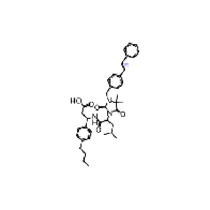 CCCCc1ccc(C(CC(=O)O)NC(=O)C(CC(C)C)N2C(=O)N(Cc3ccc(/C=C/c4ccccc4)cc3)C(C)(C)C2=O)cc1